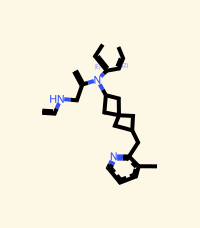 C=CNCC(=C)N(C(/C=C\C)=C/C)C1CC2(CC(Cc3ncccc3C)C2)C1